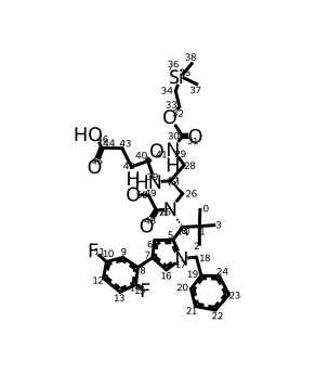 CC(C)(C)[C@H](c1cc(-c2cc(F)ccc2F)cn1Cc1ccccc1)N(C[C@H](CNC(=O)OCC[Si](C)(C)C)NC(=O)CCC(=O)O)C(=O)CO